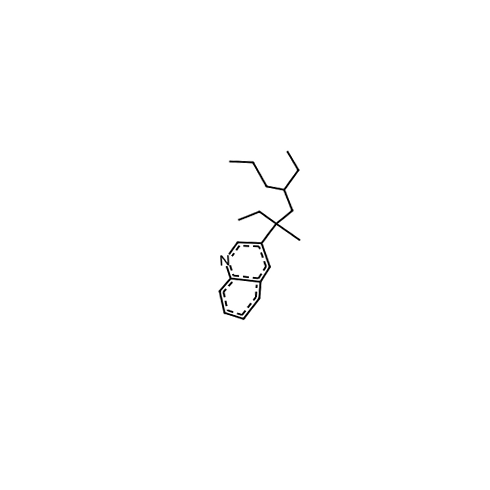 CCCC(CC)CC(C)(CC)c1cnc2ccccc2c1